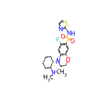 CN(C)[C@H]1CCCC[C@@H]1N1CCOc2cc(S(=O)(=O)Nc3nccs3)c(F)cc21